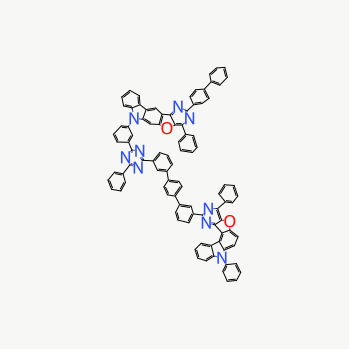 c1ccc(-c2ccc(-c3nc(-c4ccccc4)c4oc5cc6c(cc5c4n3)c3ccccc3n6-c3cccc(-c4nc(-c5ccccc5)nc(-c5cccc(-c6ccc(-c7cccc(-c8nc(-c9ccccc9)c9oc%10ccc%11c(c%12ccccc%12n%11-c%11ccccc%11)c%10c9n8)c7)cc6)c5)n4)c3)cc2)cc1